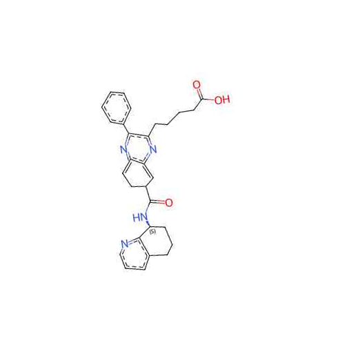 O=C(O)CCCCc1nc2c(nc1-c1ccccc1)=CCC(C(=O)N[C@H]1CCCc3cccnc31)C=2